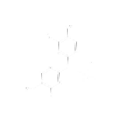 COc1ccc([I+]c2ccc(OC)c(C(C)C)c2)cc1C(C)C.F[B-](F)(F)F